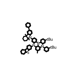 Cc1cc2c3c(c1)N(c1cccc(C(C)(C)C)c1)c1cc(C(C)(C)C)ccc1B3c1ccc(N3c4ccc(-c5ccccc5)cc4C4(C)CCCCC34C)cc1N2c1ccc2c(c1)sc1ccccc12